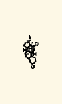 CC[C@H]1CC[C@H]2[C@@H]3C=CC4=CC(=O)CC[C@]4(C)[C@H]3CC(=O)[C@]12C